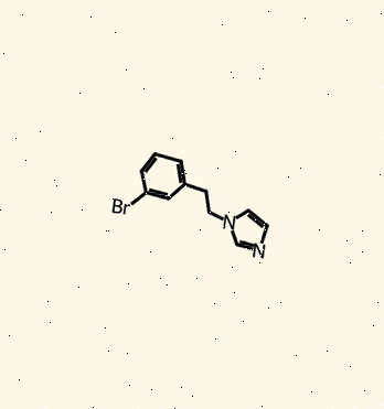 Brc1cccc(CCn2ccnc2)c1